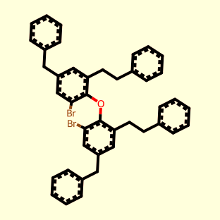 Brc1cc(Cc2ccccc2)cc(CCc2ccccc2)c1Oc1c(Br)cc(Cc2ccccc2)cc1CCc1ccccc1